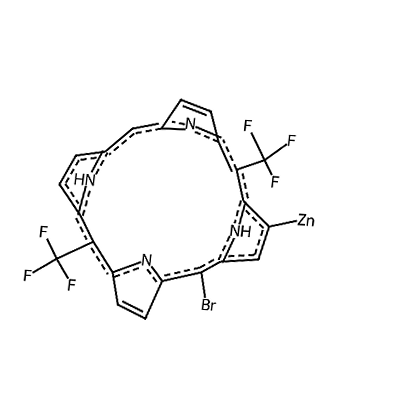 FC(F)(F)c1c2nc(c(Br)c3c[c]([Zn])c([nH]3)c(C(F)(F)F)c3nc(cc4ccc1[nH]4)C=C3)C=C2